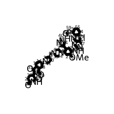 COc1cc(N2CCN(C[C@H]3CCN(c4ccc5c(c4)C(=O)N(C4CCC(=O)NC4=O)C5=O)C3)CC2)c(-c2cnn(C)c2)cc1Nc1ncc(Cl)c(Nc2ccccc2P(C)(C)=O)n1